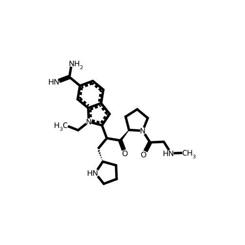 CCn1c(C(C[C@@H]2CCCN2)C(=O)[C@H]2CCCN2C(=O)CNC)cc2ccc(C(=N)N)cc21